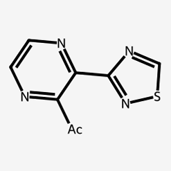 CC(=O)c1nccnc1-c1ncsn1